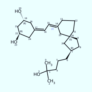 CC(C)(O)CCC[C@@H]1CC[C@@]2(CCC/C(=C/C=C3C[C@@H](O)C[C@H](O)C3)C2)C1